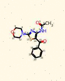 [CH2]C(=O)Nc1nc(N2CCOCC2)sc1C(=O)c1ccccc1